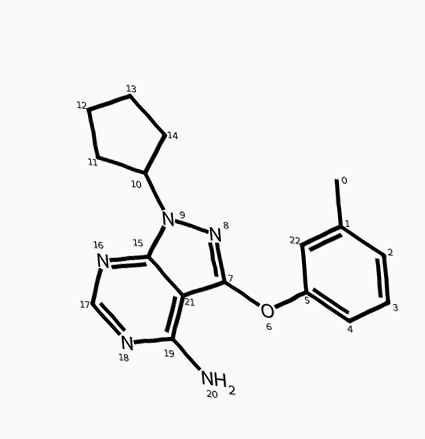 Cc1cccc(Oc2nn(C3CCCC3)c3ncnc(N)c23)c1